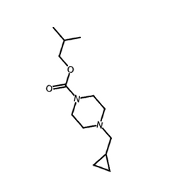 CC(C)COC(=O)N1CCN(CC2CC2)CC1